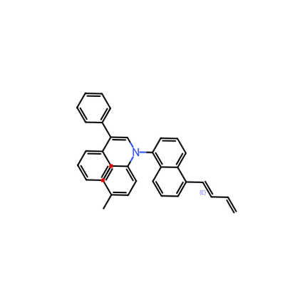 C=C/C=C/c1cccc2c(N(C=C(c3ccccc3)c3ccccc3)c3ccc(C)cc3)cccc12